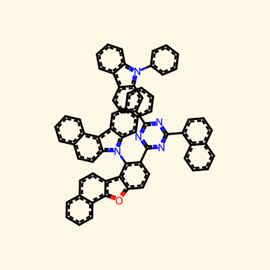 c1ccc(-n2c3ccccc3c3ccc(-c4nc(-c5ccc6oc7c8ccccc8ccc7c6c5-n5c6cc7ccccc7cc6c6c7ccccc7ccc65)nc(-c5cccc6ccccc56)n4)cc32)cc1